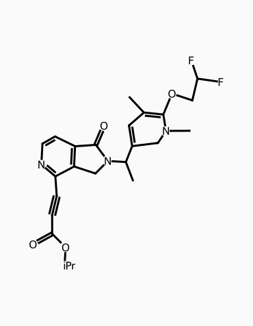 CC1=C(OCC(F)F)N(C)CC(C(C)N2Cc3c(ccnc3C#CC(=O)OC(C)C)C2=O)=C1